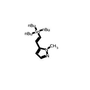 CCC[CH2][Sn](/[CH]=C/c1ccnn1C)([CH2]CCC)[CH2]CCC